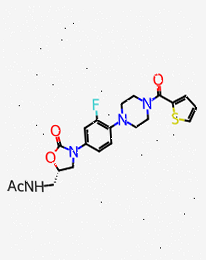 CC(=O)NC[C@H]1CN(c2ccc(N3CCN(C(=O)c4cccs4)CC3)c(F)c2)C(=O)O1